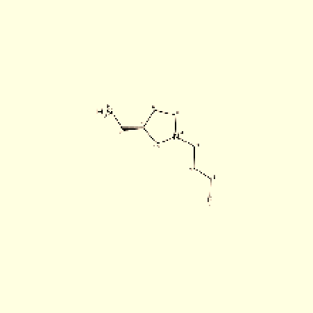 FCCCN1CC[C@H](C[SiH3])C1